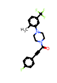 Cc1ccc(C(F)(F)F)cc1N1CCN(C(=O)C#Cc2ccc(F)cc2)CC1